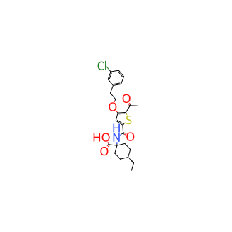 CC[C@H]1CC[C@](NC(=O)c2cc(OCCc3cccc(Cl)c3)c(C(C)=O)s2)(C(=O)O)CC1